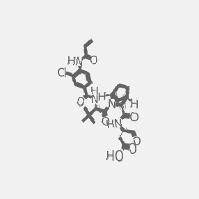 CCC(=O)Nc1ccc(C(=O)N[C@H](C(=O)N2[C@@H]3CC[C@@H](C3)[C@H]2C(=O)N[C@H](C=O)CC(=O)O)C(C)(C)C)cc1Cl